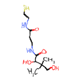 CC(C)(CO)C(O)C(=O)NCCC(=O)NC=CS